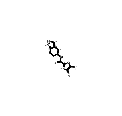 CCc1[nH]c(C(=O)NC2CCc3n[nH]cc3C2)nc1Cl